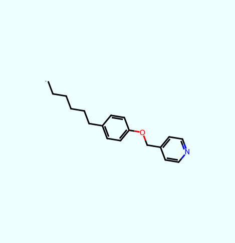 [CH2]CCCCCc1ccc(OCc2ccncc2)cc1